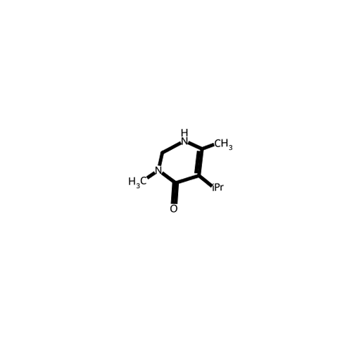 CC1=C(C(C)C)C(=O)N(C)CN1